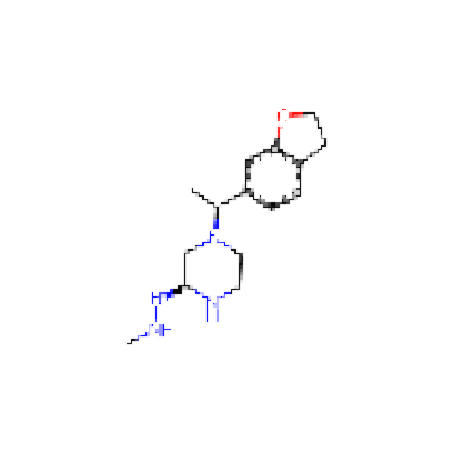 CN/N=C1/CN(C(C)c2ccc3c(c2)OCC3)CCN1